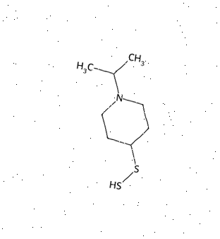 CC(C)N1CCC(SS)CC1